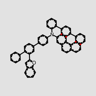 c1ccc(-c2ccc(-c3ccccc3N(c3ccc(-c4ccc(-c5ccccc5)c(-c5cc6ccccc6o5)c4)cc3)c3ccc4c(ccc5ccccc54)c3)cc2)cc1